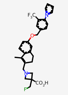 CC1=C(CN2CC(CF)(C(=O)O)C2)CCc2cc(OCc3ccc(-n4cccc4)c(C(F)(F)F)c3)ccc21